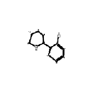 ClC1=CC=CCC1C1CCCCO1